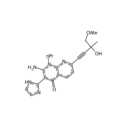 CCCn1c(N)c(-c2ncc[nH]2)c(=O)c2ccc(C#CC(C)(O)COC)nc21